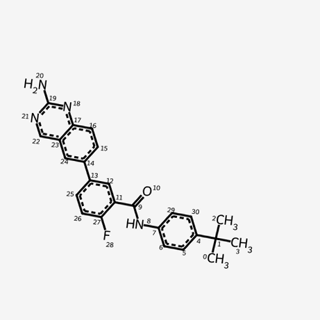 CC(C)(C)c1ccc(NC(=O)c2cc(-c3ccc4nc(N)ncc4c3)ccc2F)cc1